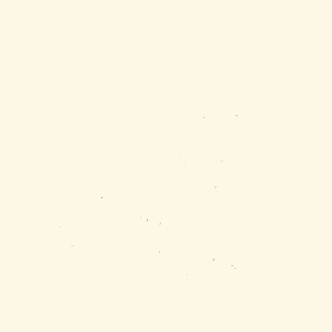 Cc1cc(C)cc(CCC(C)C(Cl)(CCc2cc(C)cc(C)c2)c2cc(C)cc(C)c2)c1